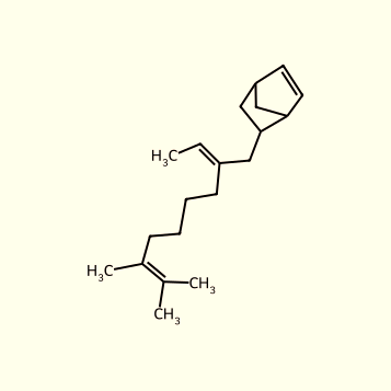 CC=C(CCCCC(C)=C(C)C)CC1CC2C=CC1C2